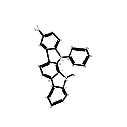 CCC(C)c1ccc2c(c1)c1ccc3c4ccccc4n(C)c3c1n2-c1ccccc1